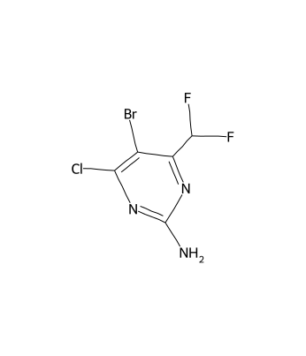 Nc1nc(Cl)c(Br)c(C(F)F)n1